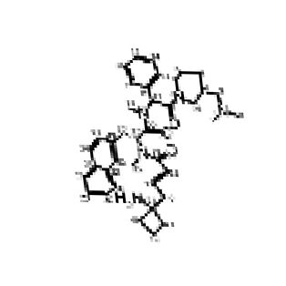 CN(C)C[C@@H]1CCCN(C(=O)C(c2ccccc2)N(C)C(=O)[C@@H](Cc2ccc3ccccc3c2)N(C)C(=O)/C=C/CC2(N)CCC2)C1